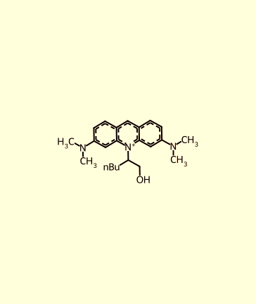 CCCCC(CO)[n+]1c2cc(N(C)C)ccc2cc2ccc(N(C)C)cc21